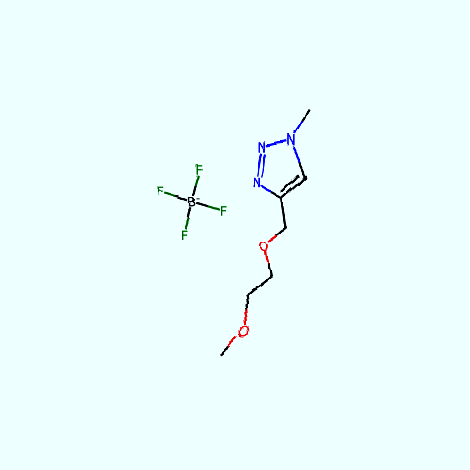 COCCOCc1cn(C)nn1.F[B-](F)(F)F